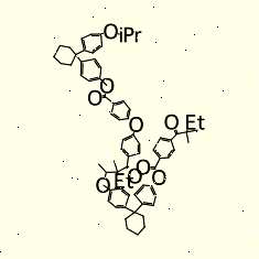 CCC(C)(C)C(=O)c1ccc(C(=O)Oc2ccc(C3(c4ccc(OC(C)C(C)(CC)C(=O)c5ccc(Oc6ccc(C(=O)Oc7ccc(C8(c9ccc(OC(C)C)cc9)CCCCC8)cc7)cc6)cc5)cc4)CCCCC3)cc2)cc1